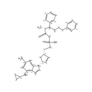 C[C@@H](C(=O)OP(=O)(O)OC[C@@H]1C=C[C@H](n2cnc3c(NC4CC4)nc(N)nc32)C1)N(OCCc1ccccc1)c1ccccc1